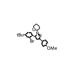 COc1ccc(-c2cc(-c3ccc(C(C)(C)C)cc3Br)n(C3CCCCO3)n2)cc1